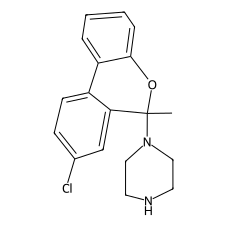 CC1(N2CCNCC2)Oc2ccccc2-c2ccc(Cl)cc21